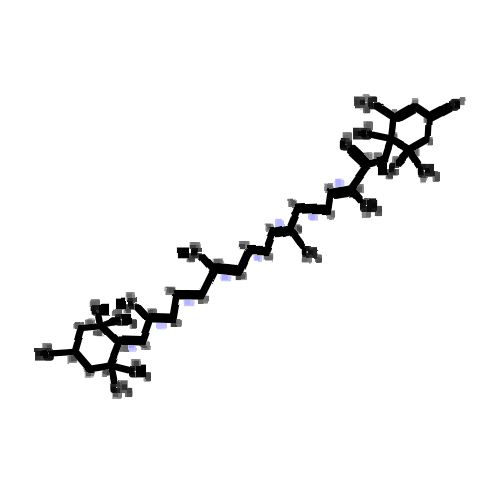 CC1=CC(=O)CC(C)(C)C1(O)CC(=O)/C(C)=C/C=C/C(C)=C/C=C/C=C(C)/C=C/C=C(C)/C=C1/C(C)(C)CC(O)C[C@]1(C)O